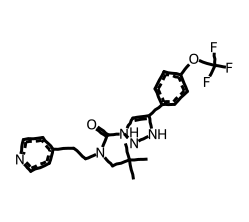 CC(C)(C)CN(CCc1ccncc1)C(=O)N1C=C(c2ccc(OC(F)(F)F)cc2)NN1